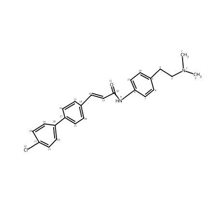 CN(C)CCc1ccc(NC(=O)/C=C/c2ccc(-c3ccc(Cl)cc3)cc2)cc1